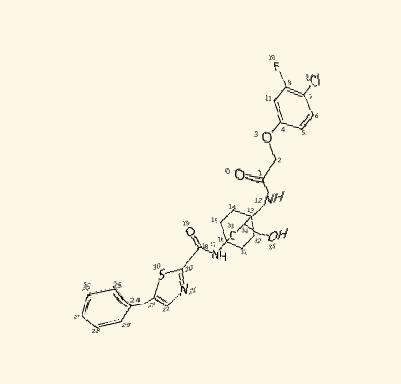 O=C(COc1ccc(Cl)c(F)c1)NC12CCC(NC(=O)c3ncc(-c4ccccc4)s3)(CC1)CC2O